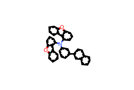 c1cc(-c2ccc3ccccc3c2)cc(N(c2cccc3oc4ccccc4c23)c2cccc3oc4ccccc4c23)c1